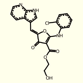 O=C(OCCO)C1=C(Nc2ccccc2Cl)O/C(=C\c2c[nH]c3ncccc23)C1=O